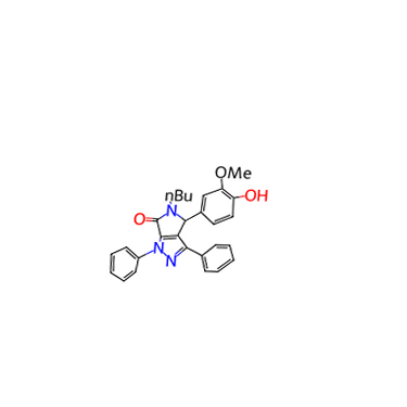 CCCCN1C(=O)c2c(c(-c3ccccc3)nn2-c2ccccc2)C1c1ccc(O)c(OC)c1